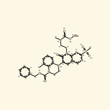 Cc1cccc2c1N(C(=O)OCc1ccccc1)CCN2c1cc2cnc(S(C)(=O)=O)nc2n(CCN(C)C(=O)OC(C)(C)C)c1=O